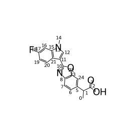 CC(C(=O)O)c1ccc2nc(-c3cn(C)c4cc(F)ccc34)oc2c1